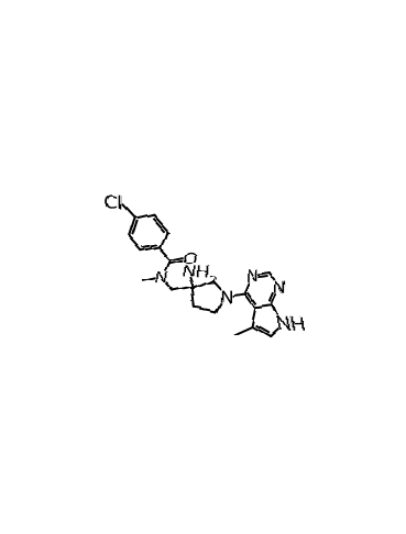 Cc1c[nH]c2ncnc(N3CCC(N)(CN(C)C(=O)c4ccc(Cl)cc4)C3)c12